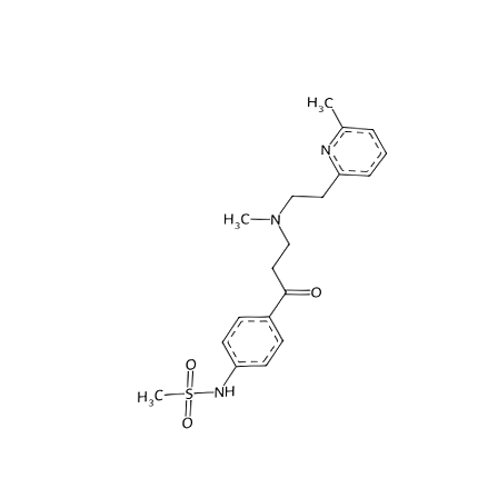 Cc1cccc(CCN(C)CCC(=O)c2ccc(NS(C)(=O)=O)cc2)n1